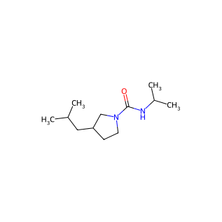 CC(C)CC1CCN(C(=O)NC(C)C)C1